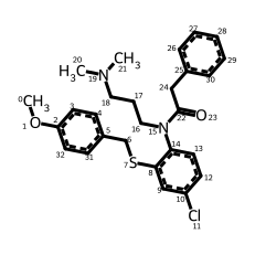 COc1ccc(CSc2cc(Cl)ccc2N(CCCN(C)C)C(=O)Cc2ccccc2)cc1